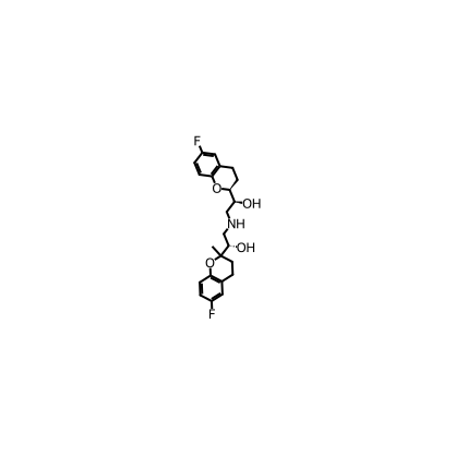 CC1([C@@H](O)CNC[C@H](O)[C@@H]2CCc3cc(F)ccc3O2)CCc2cc(F)ccc2O1